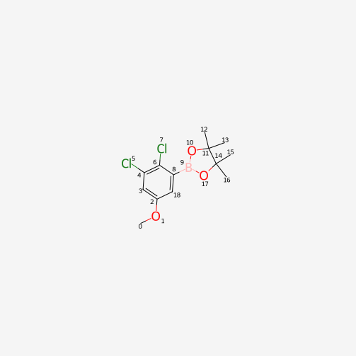 COc1cc(Cl)c(Cl)c(B2OC(C)(C)C(C)(C)O2)c1